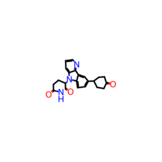 O=C1CCC(c2ccc3c(c2)c2ncccc2n3C2CCC(=O)NC2=O)CC1